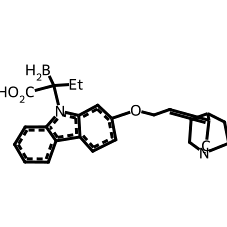 BC(CC)(C(=O)O)n1c2ccccc2c2ccc(OC/C=C3\CN4CCC3CC4)cc21